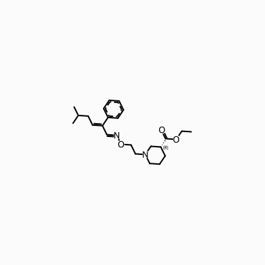 CCOC(=O)[C@@H]1CCCN(CCON=CC(=CCC(C)C)c2ccccc2)C1